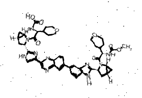 COC(=O)N[C@H](C(=O)N1[C@@H]2C[C@@H]2C[C@H]1c1nc2cc(-c3ccc4nc(-c5c[nH]c([C@@H]6C[C@H]7C[C@H]7N6C(=O)[C@H](C6CCOCC6)N(C)C(=O)O)n5)cnc4c3)ccc2[nH]1)C1CCOCC1